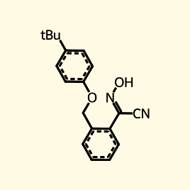 CC(C)(C)c1ccc(OCc2ccccc2C(C#N)=NO)cc1